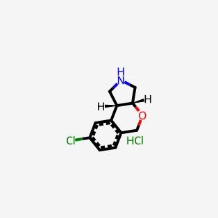 Cl.Clc1ccc2c(c1)[C@@H]1CNC[C@@H]1OC2